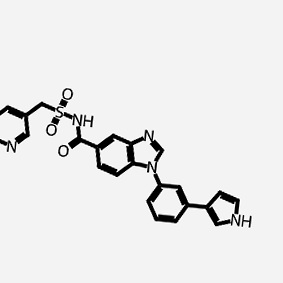 O=C(NS(=O)(=O)Cc1cccnc1)c1ccc2c(c1)ncn2-c1cccc(-c2cc[nH]c2)c1